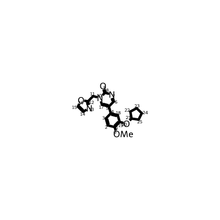 COc1ccc(-c2cnc(=O)n(Cc3ncco3)c2)cc1OC1CCCC1